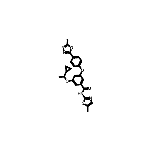 Cc1nnc(-c2ccc(Oc3cc(OC(C)C4CC4)cc(C(=O)Nc4ncc(C)s4)c3)cc2)o1